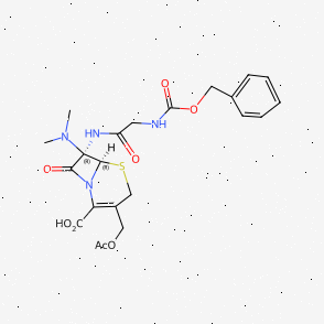 CC(=O)OCC1=C(C(=O)O)N2C(=O)[C@@](NC(=O)CNC(=O)OCc3ccccc3)(N(C)C)[C@H]2SC1